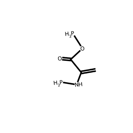 C=C(NP)C(=O)OP